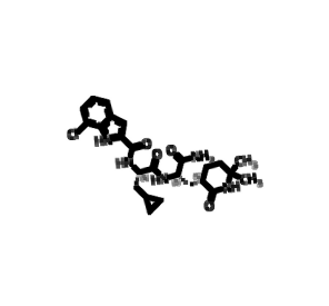 CC1(C)CC[C@@H](C[C@H](NC(=O)[C@H](CC2CC2)NC(=O)c2cc3cccc(Cl)c3[nH]2)C(N)=O)C(=O)N1